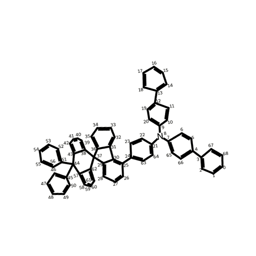 c1ccc(-c2ccc(N(c3ccc(-c4ccccc4)cc3)c3ccc(-c4cccc5c4-c4ccccc4C54c5ccccc5C(c5ccccc5)(c5ccccc5)c5ccccc54)cc3)cc2)cc1